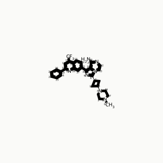 CN1CCN([C@H]2C[C@@H](c3nc(-c4ccc5c(C(F)(F)F)cc(-c6ccccc6)nc5c4)c4c(N)nccn43)C2)CC1